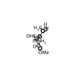 COc1ccc2c(c1)C(=O)N(C[C@@](N)(C(=O)NC=O)c1ccc(-c3cc(C)c4[nH]ncc4c3)cc1)C2